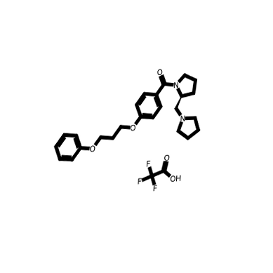 O=C(O)C(F)(F)F.O=C(c1ccc(OCCCOc2ccccc2)cc1)N1CCC[C@H]1CN1CCCC1